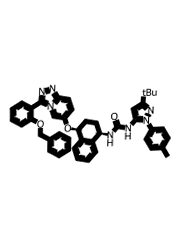 Cc1ccc(-n2nc(C(C)(C)C)cc2NC(=O)N[C@@H]2CC[C@H](Oc3ccc4nnc(-c5ccccc5OCc5ccccc5)n4c3)c3ccccc32)cc1